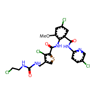 COc1cc(Cl)cc(C(=O)Nc2ccc(Cl)cn2)c1NC(=O)c1scc(CNC(=O)NCCCl)c1Cl